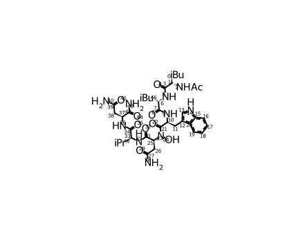 CC[C@H](C)[C@H](NC(C)=O)C(=O)N[C@H](C(=O)N[C@@H](Cc1c[nH]c2ccccc12)C(=O)N(O)[C@@H](CC(N)=O)C(=O)N[C@H](C(=O)N[C@@H](CC(N)=O)C(N)=O)C(C)C)[C@@H](C)CC